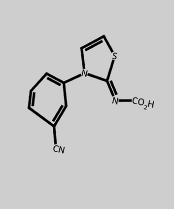 N#Cc1cccc(-n2ccsc2=NC(=O)O)c1